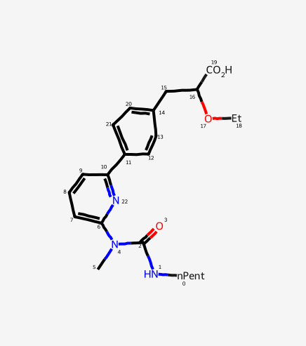 CCCCCNC(=O)N(C)c1cccc(-c2ccc(CC(OCC)C(=O)O)cc2)n1